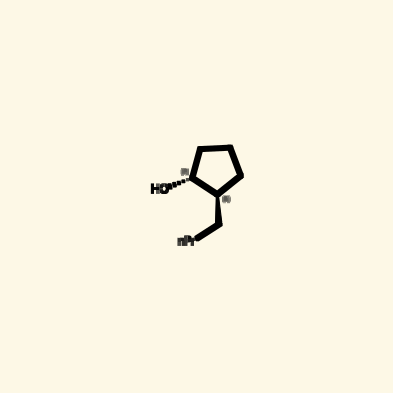 CCCC[C@@H]1CCC[C@H]1O